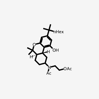 CCCCCCC(C)(C)c1cc(O)c2c(c1)OC(C)(C)[C@@H]1CCC(N(CCOC(C)=O)C(C)=O)C[C@@H]21